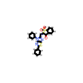 O=C1/C(=C\c2nc3sc(-c4ccccc4)nc3n2-c2ccccc2)S(=O)(=O)c2ccccc21